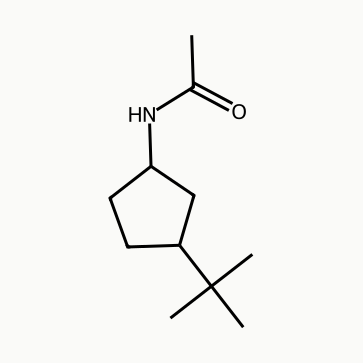 CC(=O)NC1CCC(C(C)(C)C)C1